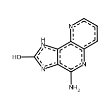 Nc1nc2cccnc2c2[nH]c(O)nc12